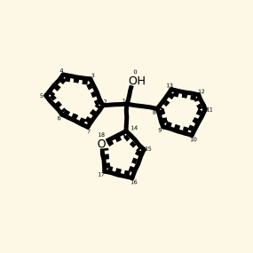 OC(c1ccccc1)(c1ccccc1)c1ccco1